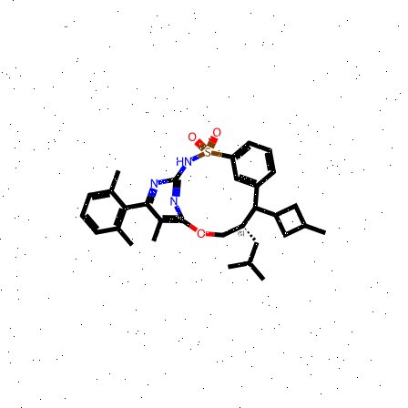 Cc1cccc(C)c1-c1nc2nc(c1C)OC[C@@H](CC(C)C)C(C1CC(C)C1)c1cccc(c1)S(=O)(=O)N2